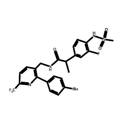 CC(C(=O)NCc1ccc(C(F)(F)F)nc1-c1ccc(C(C)(C)C)cc1)c1ccc(NS(C)(=O)=O)c(F)c1